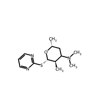 C[C@@H]1CC(N(C)C)[C@@H](C)[C@H](Sc2ncccn2)O1